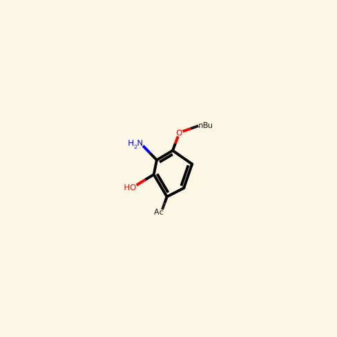 CCCCOc1ccc(C(C)=O)c(O)c1N